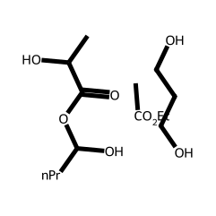 CCCC(O)OC(=O)C(C)O.CCOC(C)=O.OCCCO